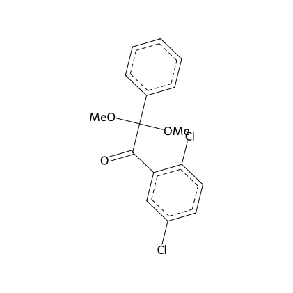 COC(OC)(C(=O)c1cc(Cl)ccc1Cl)c1ccccc1